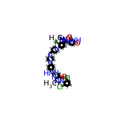 CN1CN(c2c(Cl)cccc2Cl)C(=O)c2cnc(Nc3ccc(N4CCN(CC5CCN(c6ccc7c(N8CCC(=O)NC8=O)nn(C)c7c6F)CC5)CC4)cc3)nc21